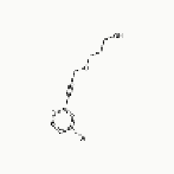 OCCCOCC#Cc1cc(Br)ccn1